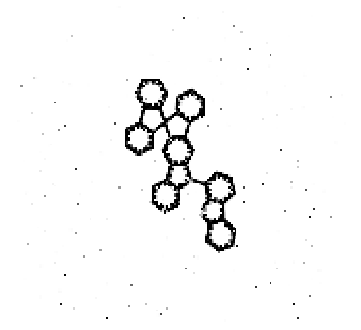 c1ccc2c(c1)-c1ccccc1C21c2ccccc2-c2cc3c(cc21)c1ccccc1n3-c1cccc2c1sc1ccccc12